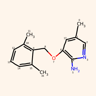 Cc1cnc(N)c(OCc2c(C)cccc2C)c1